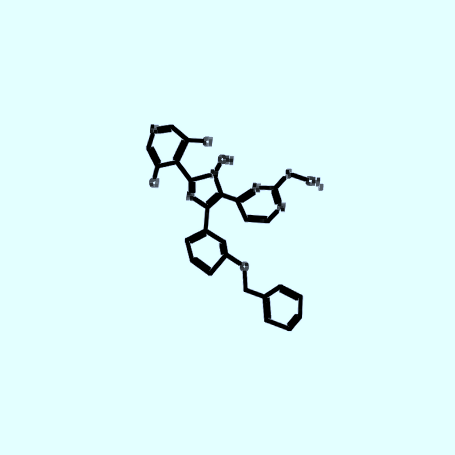 CSc1nccc(-c2c(-c3cccc(OCc4ccccc4)c3)nc(-c3c(Cl)cncc3Cl)n2O)n1